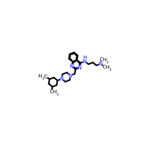 CC1CC(C)CC(N2CCN(Cc3nc(NCCCN(C)C)c4ccccc4n3)CC2)C1